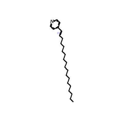 CCCCCCCCCCCCCCCCC/C=C/c1ccncc1